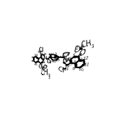 CC(=O)Oc1cc2c(c3ccccc13)[C@H](CCl)CN2C(=O)C1=C2CC(C(=O)N3C[C@@H](CCl)c4c3cc(OC(C)=O)c3ccccc43)(CC1)C2